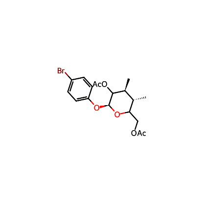 CC(=O)OCC1O[C@@H](Oc2ccc(Br)cc2)C(OC(C)=O)[C@@H](C)[C@@H]1C